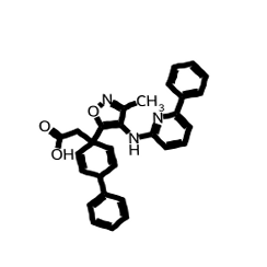 Cc1noc(C2(CC(=O)O)C=CC(c3ccccc3)C=C2)c1Nc1cccc(-c2ccccc2)n1